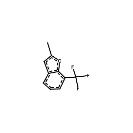 Cc1cc2cccc(C(F)(F)F)c2o1